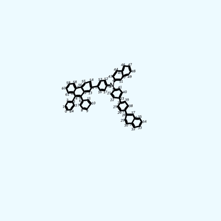 c1ccc(-c2c(-c3ccccc3)c3cc(-c4ccc(N(c5ccc(-c6ccc(-c7ccc8ccccc8c7)cc6)cc5)c5ccc6ccccc6c5)cc4)ccc3c3ccccc23)cc1